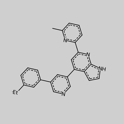 C[CH]c1cccc(-c2cncc(-c3cc(-c4cccc(C)n4)nc4[nH]ccc34)c2)c1